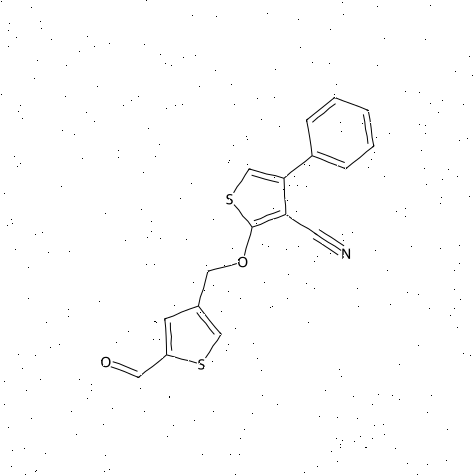 N#Cc1c(-c2ccccc2)csc1OCc1csc(C=O)c1